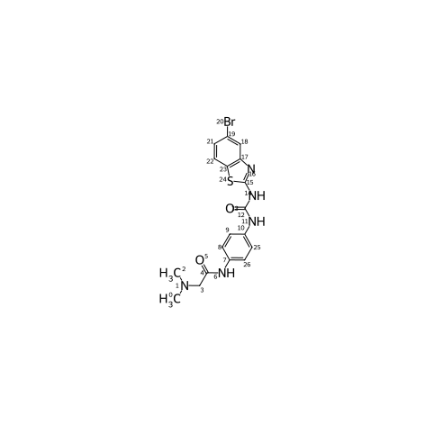 CN(C)CC(=O)Nc1ccc(NC(=O)Nc2nc3cc(Br)ccc3s2)cc1